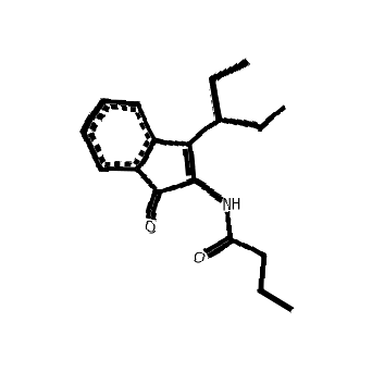 CCCC(=O)NC1=C(C(CC)CC)c2ccccc2C1=O